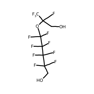 OCC(F)(F)C(F)(F)C(F)(F)C(F)(F)OC(F)(CO)C(F)(F)F